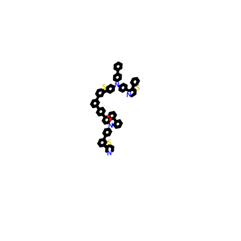 c1ccc(-c2ccc(N(c3ccc(-c4nccc5sc6ccccc6c45)cc3)c3ccc4c(c3)sc3ccc(-c5cccc(-c6ccc(-c7ccc(N(c8ccc(-c9cccc%10c9sc9ccncc9%10)cc8)c8ccccc8-c8ccccc8)cc7)cc6)c5)cc34)cc2)cc1